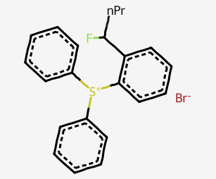 CCCC(F)c1ccccc1[S+](c1ccccc1)c1ccccc1.[Br-]